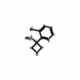 CC(C)c1cccnc1C1(C(=O)O)COC1